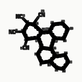 N#Cc1c(C#N)c(C#N)c2c3ccc4ccccc4c3c3ccccc3c2c1C#N